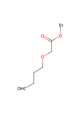 CCOC(=O)COCCCC=O